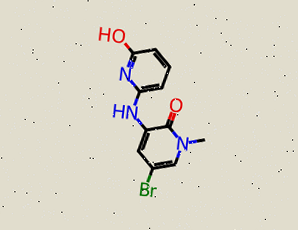 Cn1cc(Br)cc(Nc2cccc(O)n2)c1=O